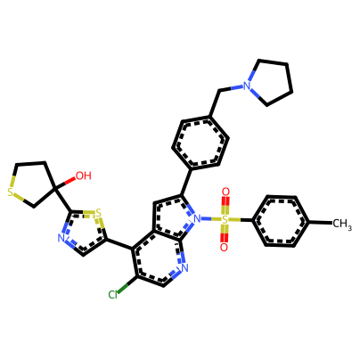 Cc1ccc(S(=O)(=O)n2c(-c3ccc(CN4CCCC4)cc3)cc3c(-c4cnc(C5(O)CCSC5)s4)c(Cl)cnc32)cc1